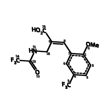 COc1ccc(C(F)(F)F)cc1C=C(CNC(=O)C(F)(F)F)C(=O)O